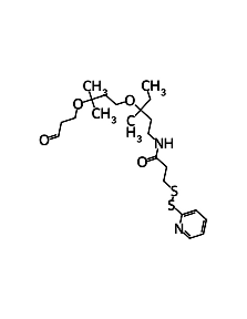 CCC(C)(CCNC(=O)CCSSc1ccccn1)OCCC(C)(C)OCCC=O